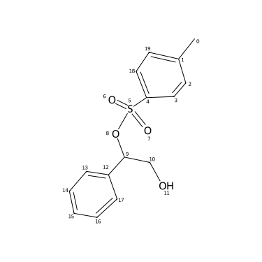 Cc1ccc(S(=O)(=O)OC(CO)c2ccccc2)cc1